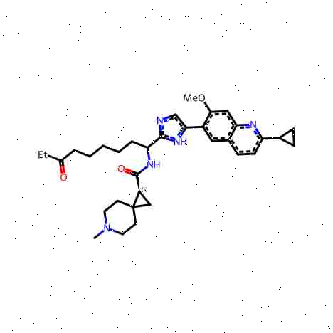 CCC(=O)CCCCCC(NC(=O)[C@H]1CC12CCN(C)CC2)c1ncc(-c2cc3ccc(C4CC4)nc3cc2OC)[nH]1